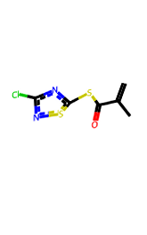 C=C(C)C(=O)Sc1nc(Cl)ns1